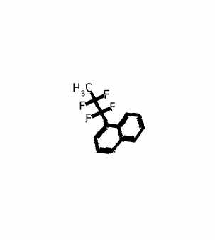 CC(F)(F)C(F)(F)c1cc[c]c2ccccc12